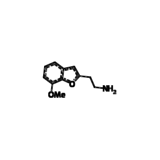 COc1cccc2cc(CCN)oc12